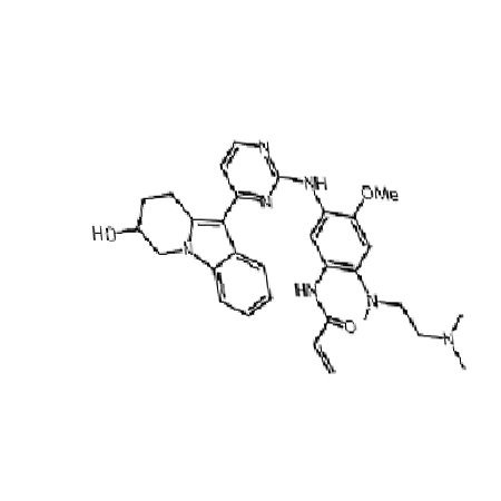 C=CC(=O)Nc1cc(Nc2nccc(-c3c4n(c5ccccc35)CC(O)CC4)n2)c(OC)cc1N(C)CCN(C)C